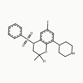 CCC1(C)CN(S(=O)(=O)c2ccccc2)c2cc(F)cc(N3CCNCC3)c2O1